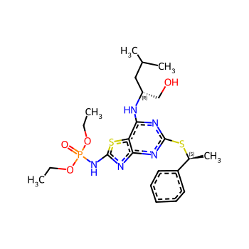 CCOP(=O)(Nc1nc2nc(S[C@@H](C)c3ccccc3)nc(N[C@@H](CO)CC(C)C)c2s1)OCC